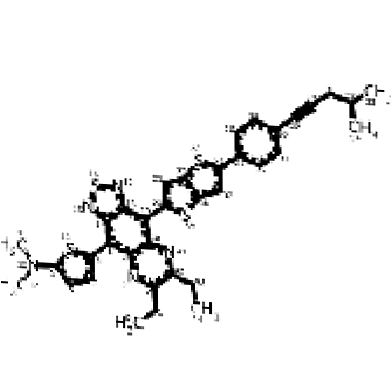 CCc1nc2c(-c3ccc(N(C)C)s3)c3nsnc3c(-c3cc4sc(-c5ccc(C#CCC(C)C)cc5)cc4s3)c2nc1CC